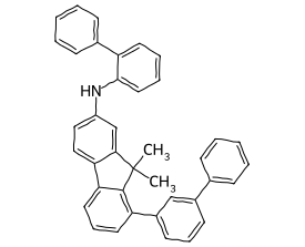 CC1(C)c2cc(Nc3ccccc3-c3ccccc3)ccc2-c2cccc(-c3cccc(-c4ccccc4)c3)c21